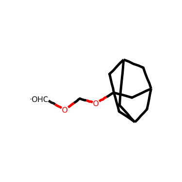 O=[C]OCOC12CC3CC(CC(C3)C1)C2